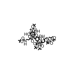 C=C(C)OC(=O)N[C@@H]1CC=C(CNCC2COC(C)(C)N2C(=O)OC(C)(C)C)OC1[C@H]1[C@H](O)[C@@H](O[C@H]2OC[C@](C)(O)[C@H](N(C)C(=O)OC(C)(C)C)[C@H]2O)[C@H](NC(=O)[C@@H](O)CCNC(=O)OC(C)(C)C)C[C@@H]1NC(=O)OC(C)(C)C